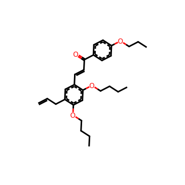 C=CCc1cc(C=CC(=O)c2ccc(OCCC)cc2)c(OCCCC)cc1OCCCC